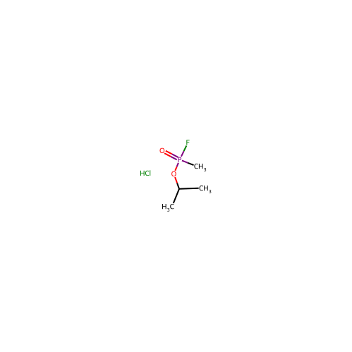 CC(C)OP(C)(=O)F.Cl